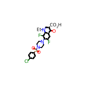 CCn1cc(C(=O)O)c(=O)c2cc(F)c(N3CCN(S(=O)(=O)c4ccc(Cl)cc4)CC3)c(F)c21